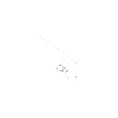 CCCCCCCCCCCCCCCCC(F)(F)CCCOP(=O)(O)CO[C@H](C)Cn1cnc2c(N)ncnc21.N